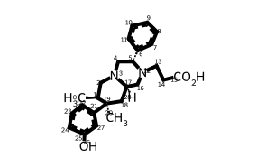 C[C@H]1CN2C[C@H](c3ccccc3)N(CCC(=O)O)C[C@H]2C[C@@]1(C)c1cccc(O)c1